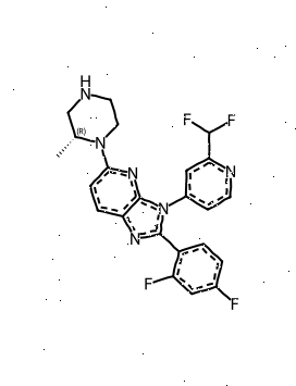 C[C@@H]1CNCCN1c1ccc2nc(-c3ccc(F)cc3F)n(-c3ccnc(C(F)F)c3)c2n1